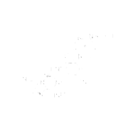 N#Cc1cc(Nc2nc(NC3CC3)c3ncc(C#N)n3n2)c(Cl)c(N2CC[C@@H](NC(=O)O)[C@H](O)C2)c1